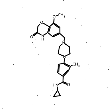 COc1cc(CN2CCN(c3ccc(C(=O)NC4CC4)cc3C)CC2)cc2c1OCC(=O)N2